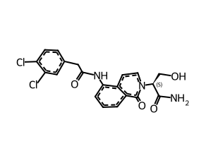 NC(=O)[C@H](CO)n1ccc2c(NC(=O)Cc3ccc(Cl)c(Cl)c3)cccc2c1=O